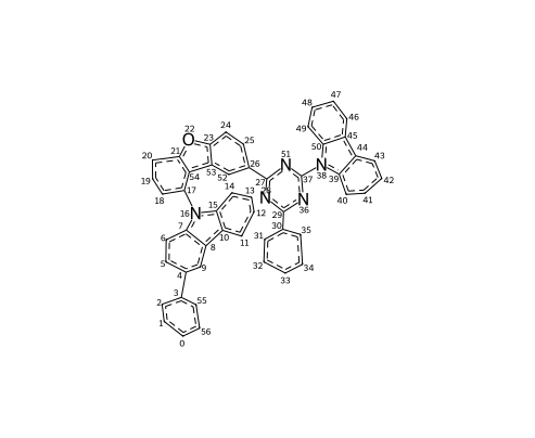 c1ccc(-c2ccc3c(c2)c2ccccc2n3-c2cccc3oc4ccc(-c5nc(-c6ccccc6)nc(-n6c7ccccc7c7ccccc76)n5)cc4c23)cc1